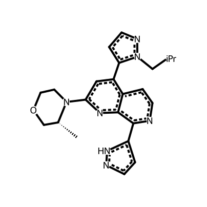 CC(C)Cn1nccc1-c1cc(N2CCOC[C@H]2C)nc2c(-c3ccn[nH]3)nccc12